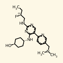 CC[C@H](F)CNc1ncc(-c2ccc(CN(C)C)cn2)c(N[C@H]2CC[C@H](O)CC2)n1